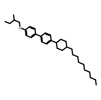 CCCCCCCCCCC1CCC(c2ccc(-c3ccc(OCC(C)CC)cc3)cc2)CC1